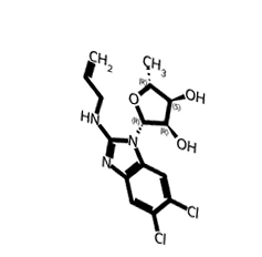 C=CCNc1nc2cc(Cl)c(Cl)cc2n1[C@@H]1O[C@H](C)[C@@H](O)[C@H]1O